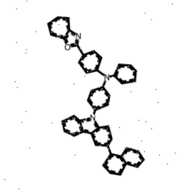 c1ccc(N(c2ccc(-c3nc4ccccc4o3)cc2)c2ccc(-n3c4ccccc4c4cc(-c5cccc6ccccc56)ccc43)cc2)cc1